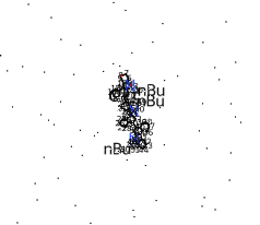 CCCCC(CC)Cn1c2ccccc2c2c3ccccc3c(-c3ccc4c5c6ccccc6c(-c6cc7c(c8ccccc68)c6cccc8c6n7CC(CCCC)C8)cc5n5c4c3CC(CCCC)C5)cc21